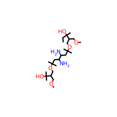 CCC(C)(O)C(COC)COC(C)(C)CC(N)C(N)CC(C)(C)OCC(COC)C(C)(C)O